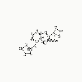 CNC(Oc1cccc(CN2CCCC2)c1Cl)C1CCC1